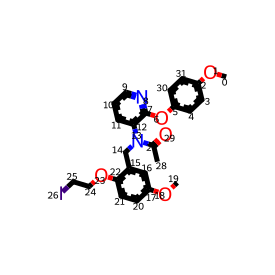 COc1ccc(Oc2ncccc2N(Cc2cc(OC)ccc2OCCI)C(C)=O)cc1